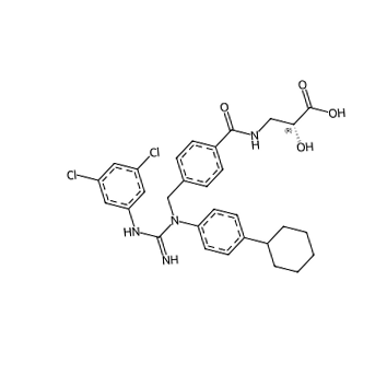 N=C(Nc1cc(Cl)cc(Cl)c1)N(Cc1ccc(C(=O)NC[C@@H](O)C(=O)O)cc1)c1ccc(C2CCCCC2)cc1